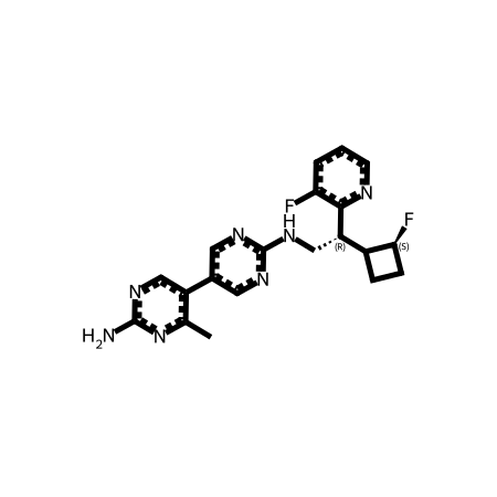 Cc1nc(N)ncc1-c1cnc(NC[C@H](c2ncccc2F)C2CC[C@@H]2F)nc1